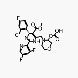 COC(=O)C1=C(CN2CCOC[C@@H]2OC(=O)O)NC(c2ncc(F)cc2F)=N[C@H]1c1ccc(F)cc1Cl